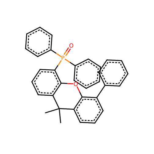 CC1(C)c2cccc(-c3ccccc3)c2Oc2c1cccc2P(=O)(c1ccccc1)c1ccccc1